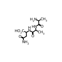 CC(N)C(=O)NC(C)C(=O)NC(CC(N)=O)C(=O)O